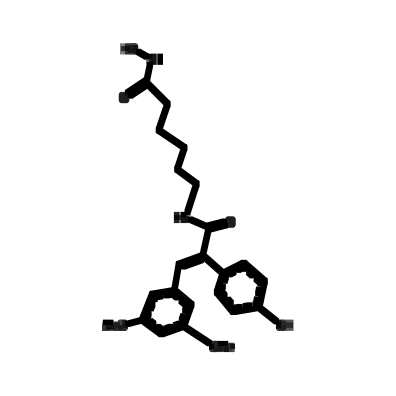 COc1cc(/C=C(/C(=O)NCCCCCC(=O)NO)c2ccc(O)cc2)cc(OC)c1